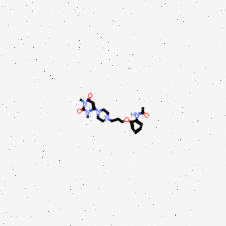 CC(=O)Nc1ccccc1OCCCN1CCN(c2cc(=O)n(C)c(=O)n2C)CC1